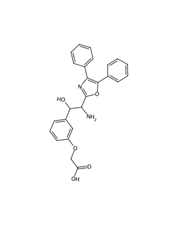 NC(c1nc(-c2ccccc2)c(-c2ccccc2)o1)C(O)c1cccc(OCC(=O)O)c1